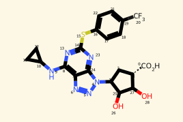 O=C(O)[C@H]1CC(n2nnc3c(NC4CC4)nc(Sc4ccc(C(F)(F)F)cc4)nc32)C(O)C1O